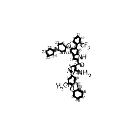 Cc1cc(-n2ncc(C(=O)c3cc4cc(OC5CCN(C6CCCC6)CC5)c(-c5ccccc5C(F)(F)F)cc4[nH]3)c2N)ccc1Oc1ccccc1F